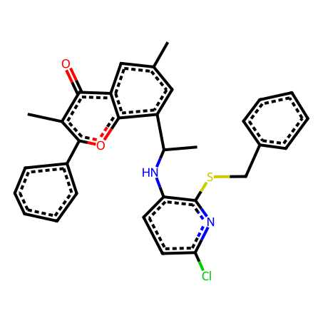 Cc1cc(C(C)Nc2ccc(Cl)nc2SCc2ccccc2)c2oc(-c3ccccc3)c(C)c(=O)c2c1